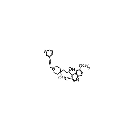 COc1ccc2ncc(Cl)c([C@H](O)CCC3(CO)CCN(CC#Cc4cccnc4)CC3)c2c1